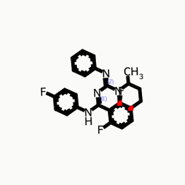 CC1CCCCN1C(=N/c1ccccc1)/N=C(/Nc1ccc(F)cc1)c1c(F)cccc1F